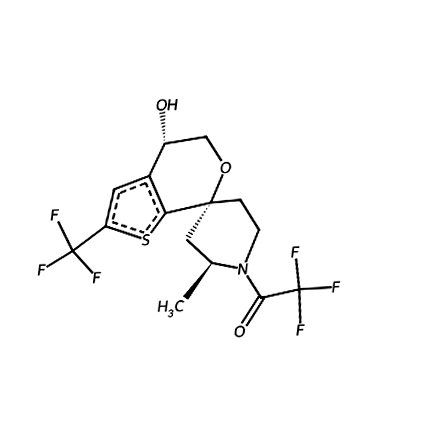 C[C@H]1C[C@@]2(CCN1C(=O)C(F)(F)F)OC[C@@H](O)c1cc(C(F)(F)F)sc12